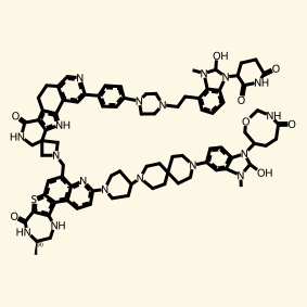 C[C@@H]1CNc2c(sc3cc(CN4CC5(CNC(=O)c6c5[nH]c5c6CCc6cnc(-c7ccc(N8CCN(CCc9cccc%10c9N(C)C(O)N%10C9CCC(=O)NC9=O)CC8)cc7)cc6-5)C4)c4nc(N5CCC(N6CCC7(CCN(c8ccc9c(c8)N(C)C(O)N9C8CCC(=O)NCOC8)CC7)CC6)CC5)ccc4c23)C(=O)N1